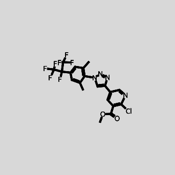 COC(=O)c1cc(-c2cn(-c3c(C)cc(C(F)(C(F)(F)F)C(F)(F)F)cc3C)nn2)cnc1Cl